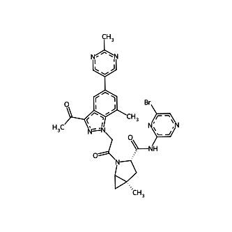 CC(=O)c1nn(CC(=O)N2C3C[C@]3(C)C[C@H]2C(=O)Nc2cncc(Br)n2)c2c(C)cc(-c3cnc(C)nc3)cc12